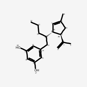 C=C(C)[C@@H]1CC(C)=C[C@H]1C(CCC)Cc1cc(O)cc(O)c1